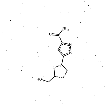 NC(=O)c1cc(C2CCC(CO)O2)sn1